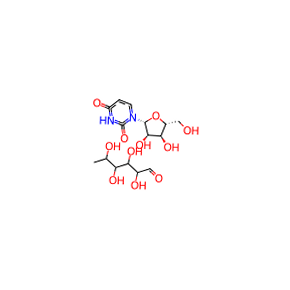 CC(O)C(O)C(O)C(O)C=O.O=c1ccn([C@@H]2O[C@H](CO)[C@@H](O)[C@H]2O)c(=O)[nH]1